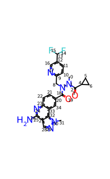 CN(C(=O)C1CC1)N(Cc1ccc(C(F)F)cn1)C(=O)c1ccc2nc(N)c3cnn(C)c3c2c1